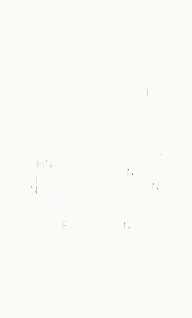 CN/C=C(\C=N)c1c(F)cc2ncc3c4c2c1OCC(c1ccc(F)cc1)n4c(=O)n3C